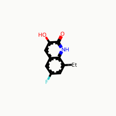 CCc1cc(F)cc2cc(O)c(=O)[nH]c12